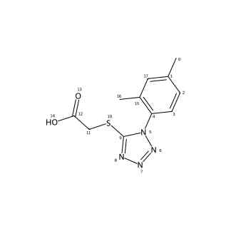 Cc1ccc(-n2nnnc2SCC(=O)O)c(C)c1